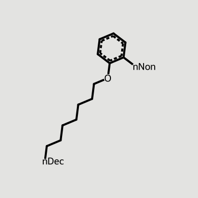 CCCCCCCCCCCCCCCCCOc1ccccc1CCCCCCCCC